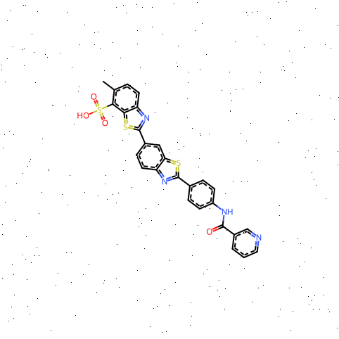 Cc1ccc2nc(-c3ccc4nc(-c5ccc(NC(=O)c6cccnc6)cc5)sc4c3)sc2c1S(=O)(=O)O